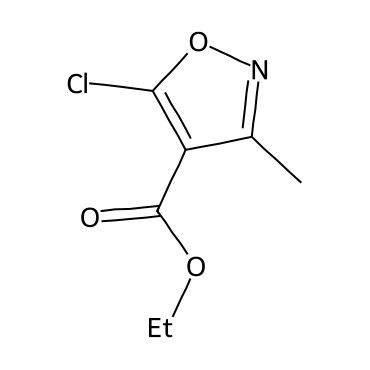 CCOC(=O)c1c(C)noc1Cl